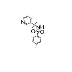 Cc1ccc(S(=O)(=O)NC(C)(C)c2cccnc2)cc1